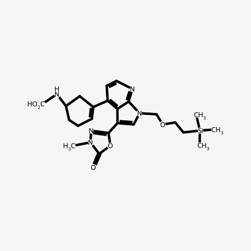 Cn1nc(-c2cn(COCC[Si](C)(C)C)c3nccc(C4=CCCC(NC(=O)O)C4)c23)oc1=O